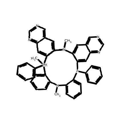 CN1c2ccccc2P(c2ccccc2)c2cc3ncncc3cc2N(C)c2cc3cncnc3cc2[PH](C)(c2ccccc2)c2ccccc21